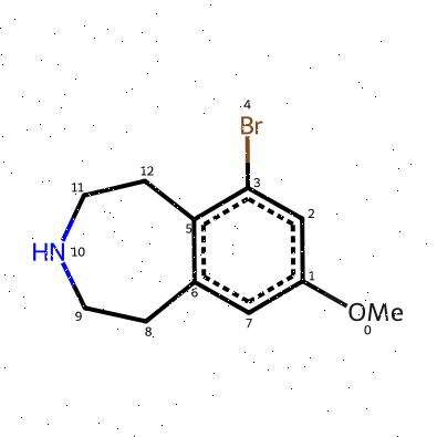 COc1cc(Br)c2c(c1)CCNCC2